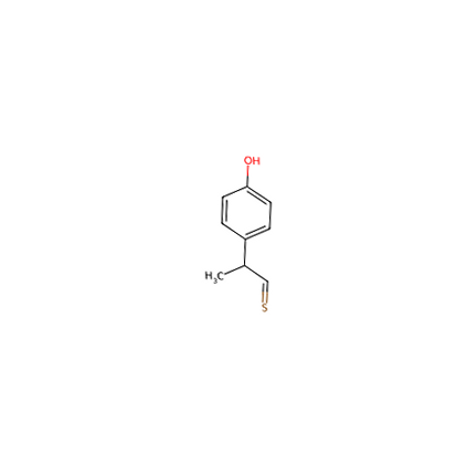 CC(C=S)c1ccc(O)cc1